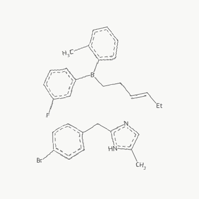 CCC=CCCB(c1cccc(F)c1)c1ccccc1C.Cc1cnc(Cc2ccc(Br)cc2)[nH]1